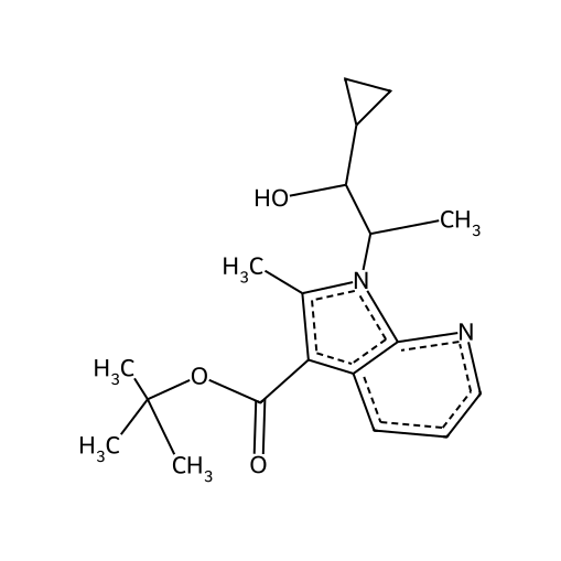 Cc1c(C(=O)OC(C)(C)C)c2cccnc2n1C(C)C(O)C1CC1